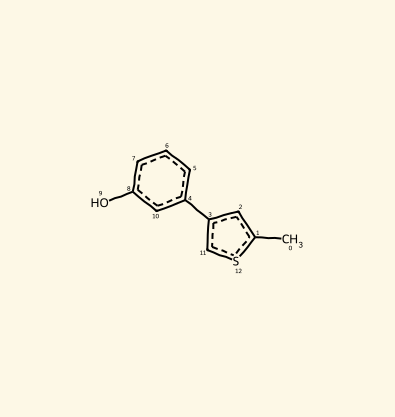 Cc1cc(-c2cccc(O)c2)cs1